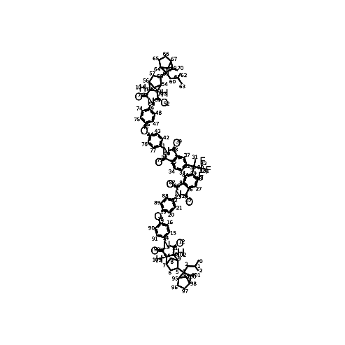 CC(C)CC1(C2CC3CC2[C@H]2C(=O)N(c4ccc(Oc5ccc(N6C(=O)c7ccc(C(C)(c8ccc9c(c8)C(=O)N(c8ccc(Oc%10ccc(N%11C(=O)[C@@H]%12C%13CC(CC%13C%13(CC(C)C)C%14CCC(C%14)C%13C)[C@@H]%12C%11=O)cc%10)cc8)C9=O)C(F)(F)F)cc7C6=O)cc5)cc4)C(=O)[C@@H]32)C2CCC(C2)C1C